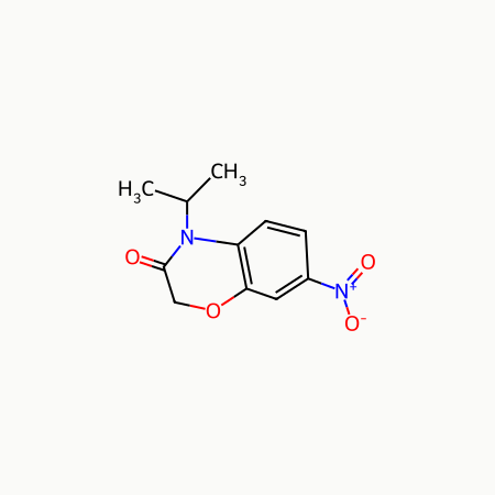 CC(C)N1C(=O)COc2cc([N+](=O)[O-])ccc21